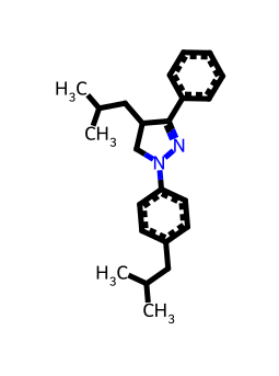 CC(C)Cc1ccc(N2CC(CC(C)C)C(c3ccccc3)=N2)cc1